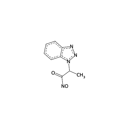 CC(C(=O)N=O)n1nnc2ccccc21